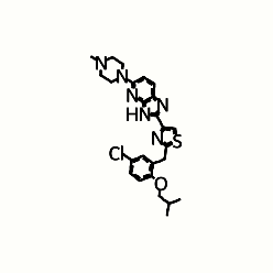 CC(C)COc1ccc(Cl)cc1Cc1nc(-c2nc3ccc(N4CCN(C)CC4)nc3[nH]2)cs1